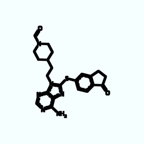 Nc1ncnc2c1nc(Sc1ccc3c(c1)CCC3=O)n2CCC1CCN(C=O)CC1